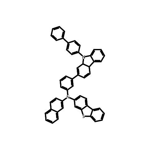 C1=CC2c3ccccc3N(c3ccc(-c4ccccc4)cc3)C2C=C1c1cccc(N(c2ccc3ccccc3c2)c2ccc3c(c2)sc2ccccc23)c1